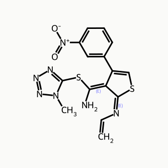 C=C/N=C1/SC=C(c2cccc([N+](=O)[O-])c2)/C1=C(/N)Sc1nnnn1C